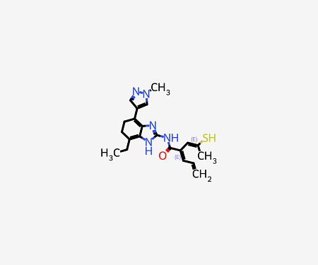 C=C/C=C(\C=C(/C)S)C(=O)Nc1nc2c([nH]1)=C(CC)CCC=2c1cnn(C)c1